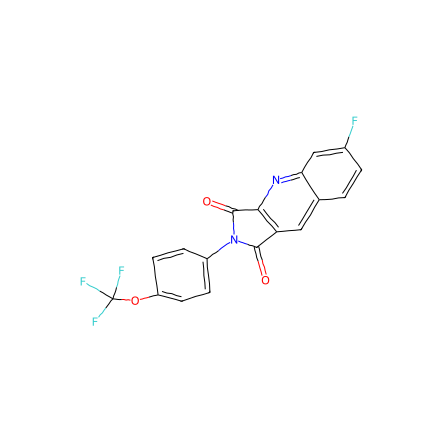 O=C1c2cc3ccc(F)cc3nc2C(=O)N1c1ccc(OC(F)(F)F)cc1